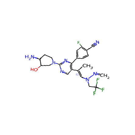 C=NN(/C=C(\C)c1cnc(N2CCC(N)C(O)C2)nc1-c1ccc(C#N)c(F)c1)CC(F)(F)F